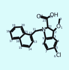 COC1c2cc(Cl)ccc2N(Cc2cccc3ccccc23)C1C(=O)O